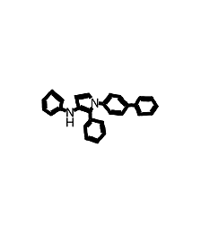 c1ccc(Nc2ccn(-c3ccc(-c4ccccc4)cc3)c2-c2ccccc2)cc1